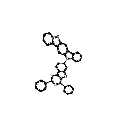 c1ccc(-c2nc(-c3ccccc3)c3sc4cc(-n5c6ccccc6c6cc7oc8ccccc8c7cc65)ccc4c3n2)cc1